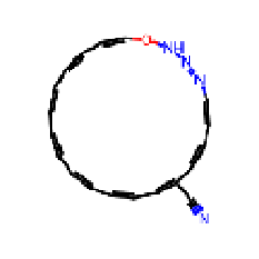 N#CC1=CC=CC=CC=CC=CC=CC=CONN=NC=CC=C1